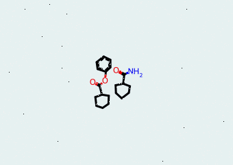 NC(=O)C1CCCCC1.O=C(Oc1ccccc1)C1CCCCC1